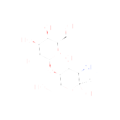 CC(=O)C1(O)O[C@H](CO)[C@@H](O[C@@H]2O[C@H](CO)[C@H](O)[C@H](O)[C@H]2O)[C@H](O)[C@H]1N